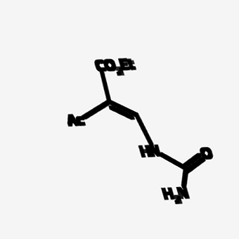 CCOC(=O)C(=CNC(N)=O)C(C)=O